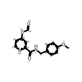 COc1ccc(CNC(=O)c2cc(OC=O)ccn2)cc1